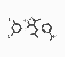 Cc1n[nH]c(Sc2cc(Cl)cc(Cl)c2)c1C(c1cccc(N(C)C)c1)C(C)C